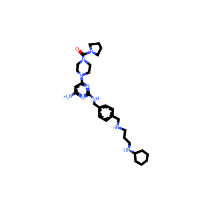 Nc1cc(N2CCN(C(=O)N3CCCC3)CC2)nc(NCc2ccc(CNCCCNC3CCCCC3)cc2)n1